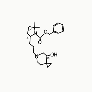 CC1(C)OC[C@H](CCCN2CCC3(CC3)[C@H](O)C2)N1C(=O)OCc1ccccc1